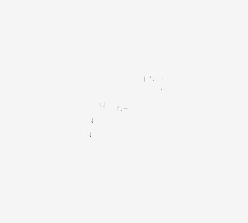 C=CC(=O)NCCCCC(N)C(=O)N1CCN(c2cccc(C)n2)CC1